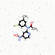 CC(=O)N(c1cc(C)cc(F)c1)c1cc(NO)ccn1